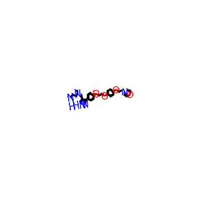 CNCCN(C)Cc1c[nH]nc1-c1ccc(OCCOc2ccc(OCCN3CCOCC3)cc2)cc1